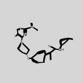 CC(C(=O)NC1CC1C)c1ccc(O[C@@H]2CCN(c3nc(N(C)C)ncc3F)C2)cc1